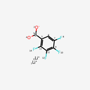 [Li+].[Li+].[O-]B([O-])c1cc(F)c(F)c(F)c1F